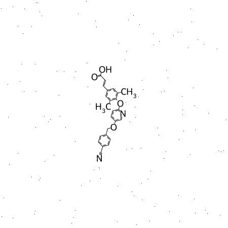 Cc1cc(/C=C/C(=O)O)cc(C)c1Oc1ccc(OCc2ccc(C#N)cc2)cn1